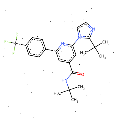 CC(C)(C)NC(=O)c1cc(-c2ccc(C(F)(F)F)cc2)nc(-n2ccnc2C(C)(C)C)c1